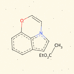 C1=Cn2ccc3cccc(c32)O1.CCOC(C)=O